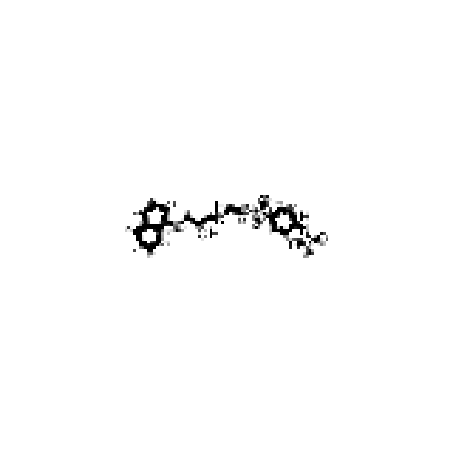 CS(=O)(=O)Nc1ccc(S(=O)(=O)NCCNCC(O)COc2cccc3ccccc23)cc1